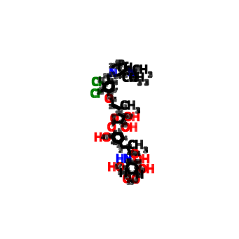 CC(=Cc1ccc(O[C@@H]2O[C@H](C(C)=CCOc3ccc(CN(CC(C)C)CC(C)(C)CN(C)C)c(Cl)c3Cl)[C@@H](O)[C@@H]2O)c(O)c1)C(=O)N[C@@H]1[C@H](O)[C@@H](O)[C@H]2OCO[C@H]2[C@@H]1O